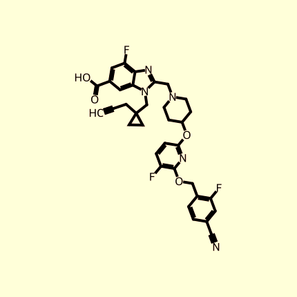 C#CCC1(Cn2c(CN3CCC(Oc4ccc(F)c(OCc5ccc(C#N)cc5F)n4)CC3)nc3c(F)cc(C(=O)O)cc32)CC1